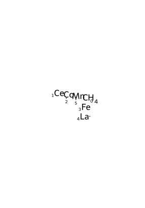 C.[Ce].[Co].[Fe].[La].[Mn]